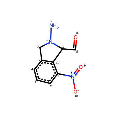 NN1Cc2cccc([N+](=O)[O-])c2C1C=O